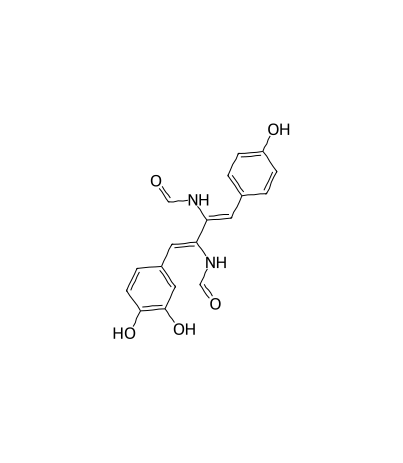 O=CNC(=Cc1ccc(O)cc1)C(=Cc1ccc(O)c(O)c1)NC=O